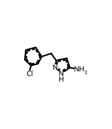 Nc1cc(Cc2cccc(Cl)c2)n[nH]1